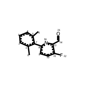 Cc1cccc(C)c1-c1ccc(F)c(C=O)n1